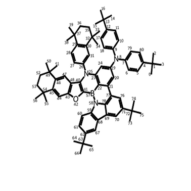 CC(C)(C)c1ccc(N(c2ccc(C(C)(C)C)cc2)c2cc3c4c(c2)N(c2ccc5c(c2)C(C)(C)CCC5(C)C)c2c(oc5cc6c(cc25)C(C)(C)CCC6(C)C)B4n2c4ccc(C(C)(C)C)cc4c4cc(C(C)(C)C)cc-3c42)cc1